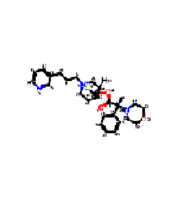 CC(C(=O)O[C@H]1C[N+]2(CCCc3cccnc3)CCC1CC2)(c1ccccc1)N1CCSCC1